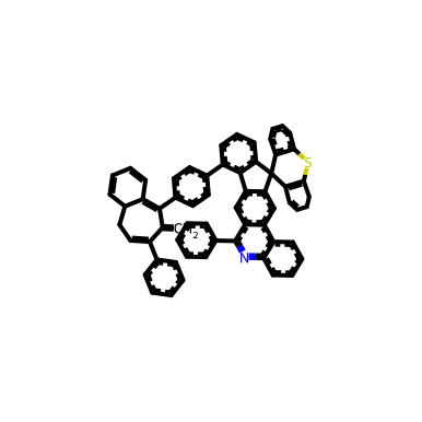 C=C1C(c2ccccc2)=CCC2C=CC=CC2=C1c1ccc(-c2cccc3c2-c2cc4c(-c5ccccc5)nc5ccccc5c4cc2C32C3=C(CCC=C3)Sc3ccccc32)cc1